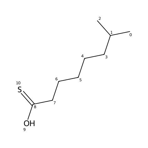 CC(C)CCCCCC(O)=S